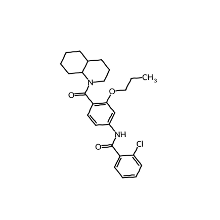 CCCOc1cc(NC(=O)c2ccccc2Cl)ccc1C(=O)N1CCCC2CCCCC21